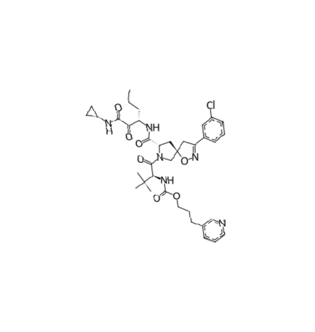 CCC[C@H](NC(=O)[C@@H]1C[C@]2(CC(c3cccc(Cl)c3)=NO2)CN1C(=O)[C@@H](NC(=O)OCCCc1cccnc1)C(C)(C)C)C(=O)C(=O)NC1CC1